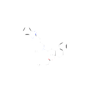 COCC(=O)OC1(C(C)C)CCc2cc(F)ccc2C1CCN(C)CCCc1nc2ccccc2[nH]1